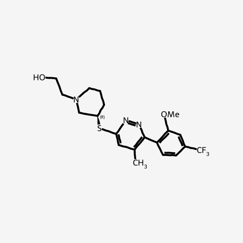 COc1cc(C(F)(F)F)ccc1-c1nnc(S[C@@H]2CCCN(CCO)C2)cc1C